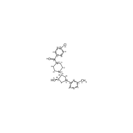 Cc1cccc(N2C[C@@H](O)[C@H](N3CCN(C(=O)c4ccc(Cl)cc4)CC3)C2)c1